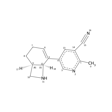 Cc1ncc(C2=CCC[C@@H]3CN[C@H]23)cc1C#N